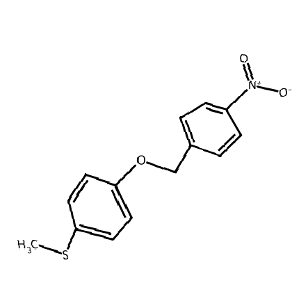 CSc1ccc(OCc2ccc([N+](=O)[O-])cc2)cc1